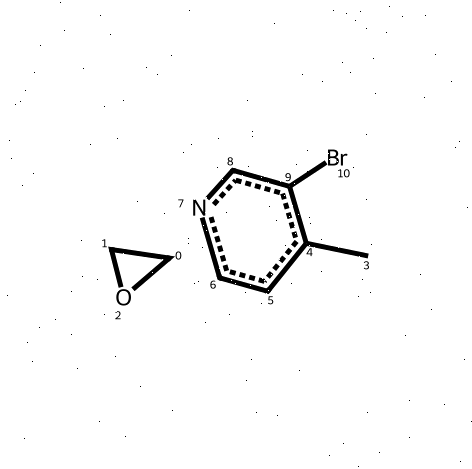 C1CO1.Cc1ccncc1Br